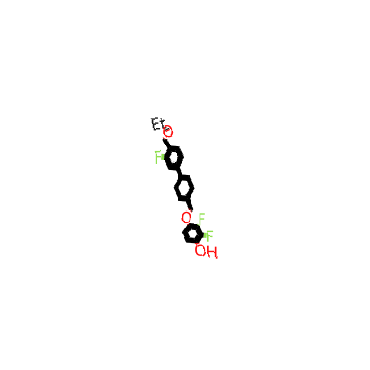 CCOCc1ccc(C2CCC(COc3ccc(O)c(F)c3F)CC2)cc1F